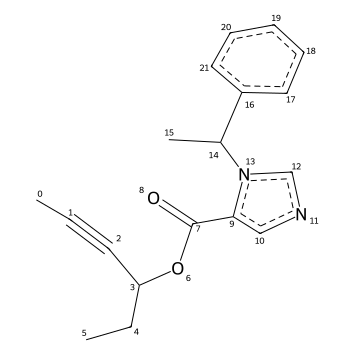 CC#CC(CC)OC(=O)c1cncn1C(C)c1ccccc1